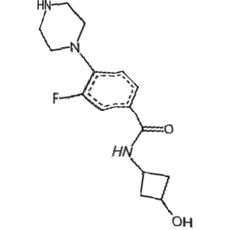 O=C(NC1CC(O)C1)c1ccc(N2CCNCC2)c(F)c1